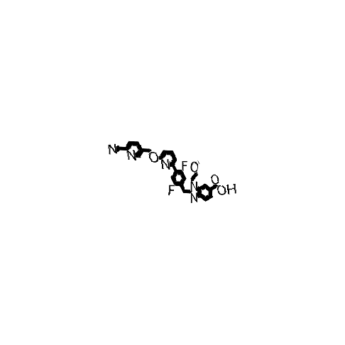 COCCn1c(Cc2cc(F)c(-c3cccc(OCc4ccc(C#N)nc4)n3)cc2F)nc2ccc(C(=O)O)cc21